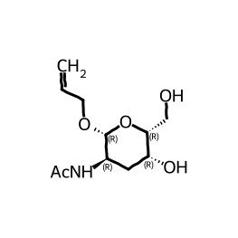 C=CCO[C@@H]1O[C@H](CO)[C@H](O)C[C@H]1NC(C)=O